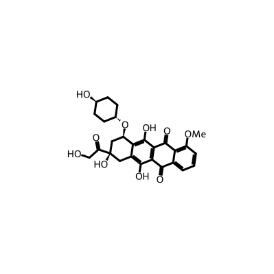 COc1cccc2c1C(=O)c1c(O)c3c(c(O)c1C2=O)C[C@](O)(C(=O)CO)C[C@H]3O[C@H]1CC[C@H](O)CC1